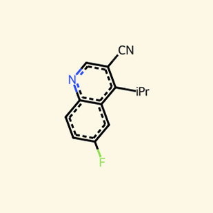 CC(C)c1c(C#N)cnc2ccc(F)cc12